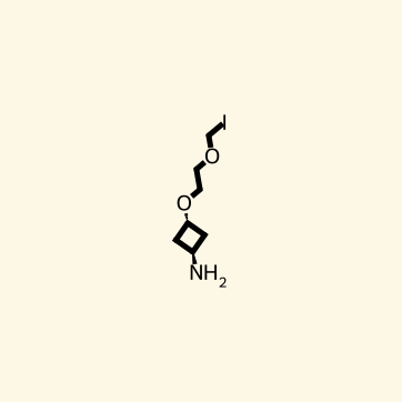 N[C@H]1C[C@H](OCCOCI)C1